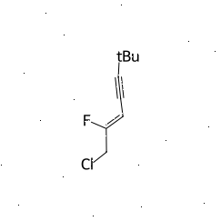 CC(C)(C)C#CC=C(F)CCl